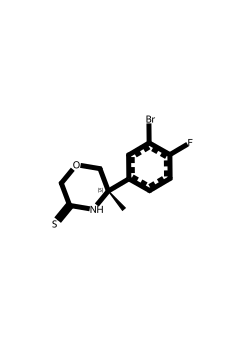 C[C@]1(c2ccc(F)c(Br)c2)COCC(=S)N1